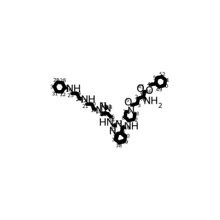 N[C@@H](CCC(=O)N1CCC(Nc2nc(NCc3cn(CCCNCCCNC4CCCCC4)nn3)nc3ccccc23)CC1)C(=O)OCC1CCCCC1